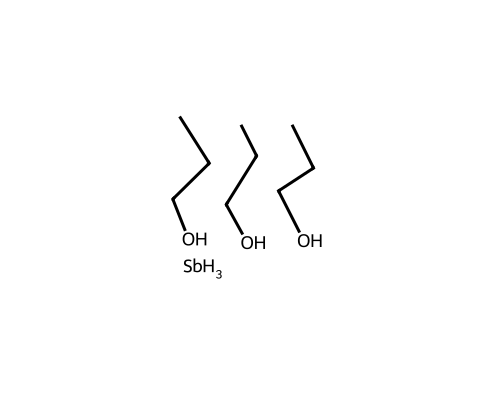 CCCO.CCCO.CCCO.[SbH3]